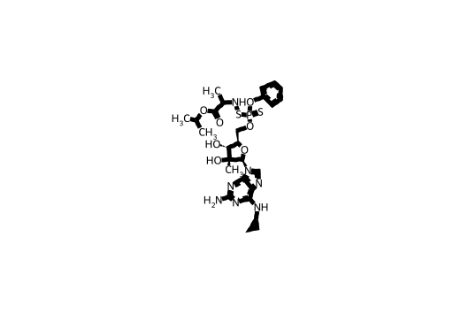 CC(C)OC(=O)C(C)NSP(=S)(OC[C@H]1O[C@@H](n2cnc3c(NC4CC4)nc(N)nc32)[C@](C)(O)[C@@H]1O)Oc1ccccc1